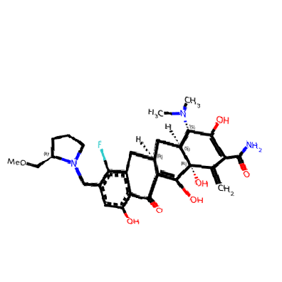 C=C1C(C(N)=O)=C(O)[C@@H](N(C)C)[C@@H]2C[C@@H]3Cc4c(F)c(CN5CCC[C@@H]5COC)cc(O)c4C(=O)C3=C(O)[C@]12O